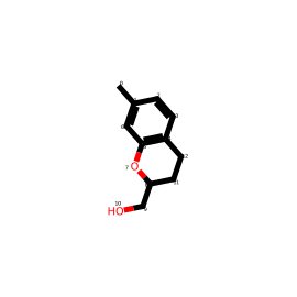 Cc1ccc2c(c1)OC(CO)CC2